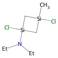 CCN(CC)[Si]1(Cl)C[Si](C)(Cl)C1